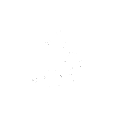 CCC(CC)c1cccc(C(=O)N2CCN(C)CC2)c1